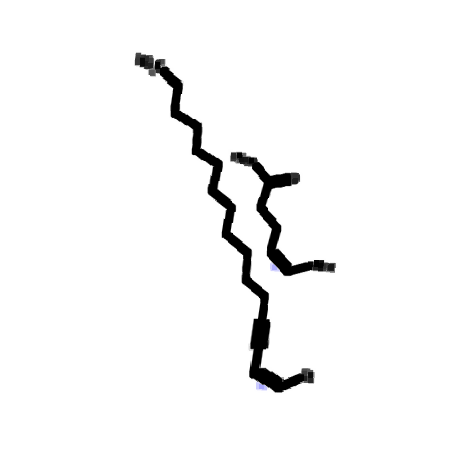 CC/C=C\C#CCCCCCCCCCCCC(=O)O.CCCCCC/C=C\CCC(=O)CCCCCCCCC